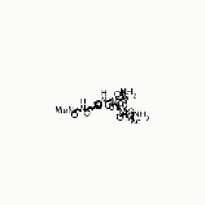 CNC(=O)CCNC(=O)CCc1ccc(NC(=O)CN(CC(=O)C2(C(N)=O)SS2)C(=O)CCN2C(=O)CC(SC(C(C)=O)C(N)=O)C2=O)cc1